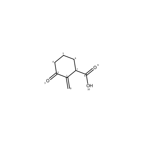 C=C1C(=O)CCCC1C(=O)O